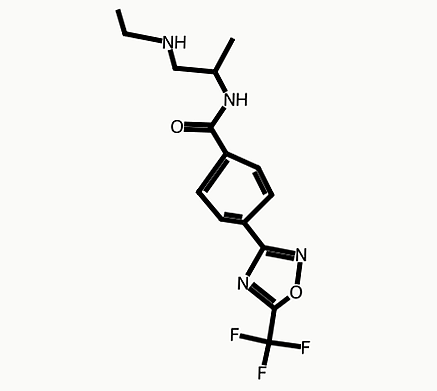 CCNCC(C)NC(=O)c1ccc(-c2noc(C(F)(F)F)n2)cc1